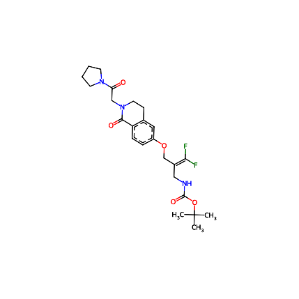 CC(C)(C)OC(=O)NCC(COc1ccc2c(c1)CCN(CC(=O)N1CCCC1)C2=O)=C(F)F